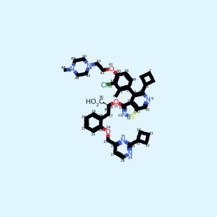 Cc1c(-c2c(C3CCC3)ncc3snc(O[C@H](Cc4ccccc4OCc4ccnc(C5CCC5)n4)C(=O)O)c23)ccc(OCCN2CCN(C)CC2)c1Cl